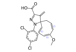 C=C1C(C(=O)O)=NN(c2ccc(Cl)cc2Cl)C12/C=C/C=C(OC)\C=C/C2